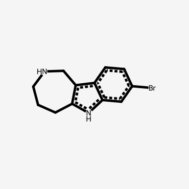 Brc1ccc2c3c([nH]c2c1)CCCNC3